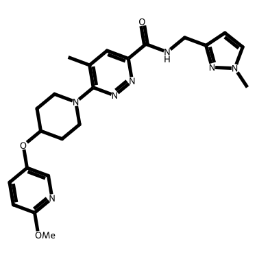 COc1ccc(OC2CCN(c3nnc(C(=O)NCc4ccn(C)n4)cc3C)CC2)cn1